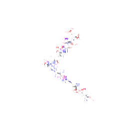 CC(C)C[C@H](N)C(=O)O.CC(C)[C@H](N)C(=O)O.CC[C@H](C)[C@H](N)C(=O)O.C[C@H](N)C(=O)O.N=C(N)NCCC[C@H](N)C(=O)O.N[C@@H](CC(=O)O)C(=O)O.N[C@@H](CCC(=O)O)C(=O)O.N[C@@H](CCC(=O)O)C(=O)O.N[C@@H](Cc1c[nH]cn1)C(=O)O